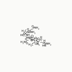 CC[C@H](C)[C@H](NC(=O)[C@@H]1CCCN1C(=O)[C@H](CCC(N)=O)NC(=O)[C@H](CO)NC(=O)[C@H](C)NC(=O)[C@@H](N)CCC(N)=O)C(=O)N[C@@H](CCCNC(=N)N)C(=O)O